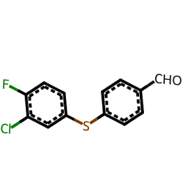 O=Cc1ccc(Sc2ccc(F)c(Cl)c2)cc1